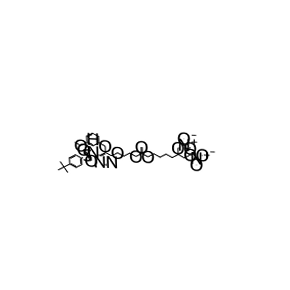 COc1cccc(Oc2c(NS(=O)(=O)c3ccc(C(C)(C)C)cc3)ncnc2OCCOC(=O)OCCCCC(CO[N+](=O)[O-])O[N+](=O)[O-])c1